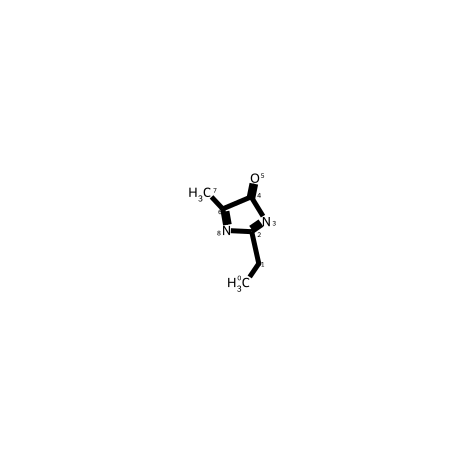 CCC1=NC(=O)C(C)=N1